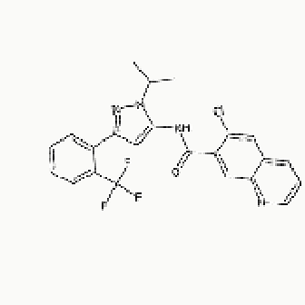 CC(C)n1nc(-c2ccccc2C(F)(F)F)cc1NC(=O)c1cc2ncccc2cc1Cl